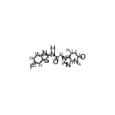 Cc1cc(=O)n(C)c2ncn(CC(=O)Nc3nc4ccc(F)cc4s3)c12